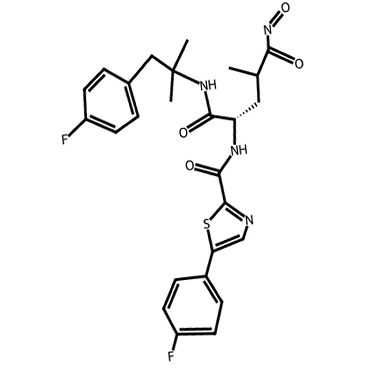 CC(C[C@H](NC(=O)c1ncc(-c2ccc(F)cc2)s1)C(=O)NC(C)(C)Cc1ccc(F)cc1)C(=O)N=O